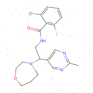 Cc1ncc(C(CNC(=O)c2c(F)cccc2Cl)N2CCCOCC2)cn1